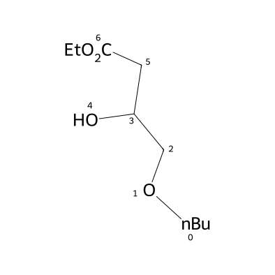 CCCCOCC(O)CC(=O)OCC